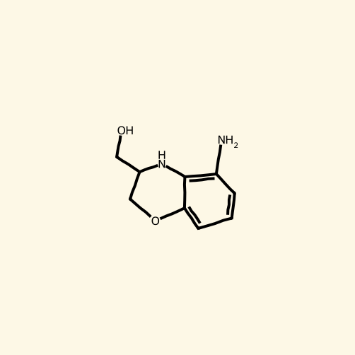 Nc1cccc2c1NC(CO)CO2